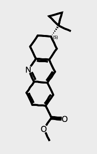 COC(=O)c1ccc2nc3c(cc2c1)C[C@@H](C1(C)CC1)CC3